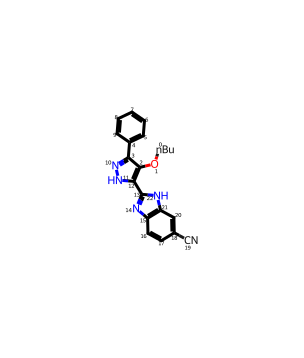 CCCCOc1c(-c2ccccc2)n[nH]c1-c1nc2ccc(C#N)cc2[nH]1